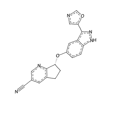 N#Cc1cnc2c(c1)CC[C@H]2Oc1ccc2[nH]nc(-c3cnco3)c2c1